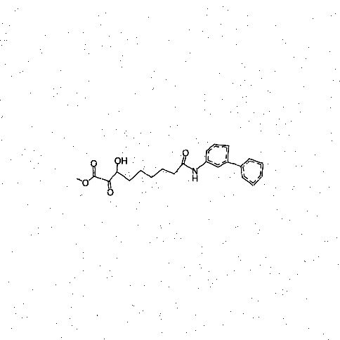 COC(=O)C(=O)C(O)CCCCCC(=O)Nc1cccc(-c2ccccc2)c1